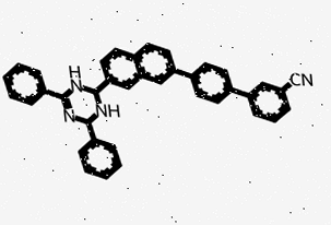 N#Cc1cccc(-c2ccc(-c3ccc4ccc(C5NC(c6ccccc6)=NC(c6ccccc6)N5)cc4c3)cc2)c1